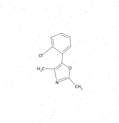 [CH2]c1nc(C)oc1-c1ccccc1Cl